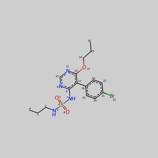 CCCNS(=O)(=O)Nc1ncnc(OCCC)c1-c1ccc(Br)cc1